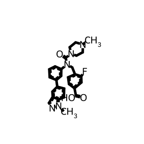 CN1CCN(C(=O)N(Cc2ccc(C(=O)O)cc2F)c2cccc(-c3ccc4c(cnn4C)c3)c2)CC1